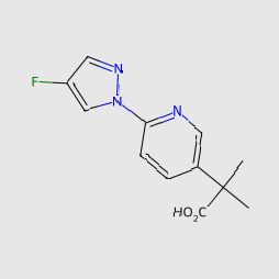 CC(C)(C(=O)O)c1ccc(-n2cc(F)cn2)nc1